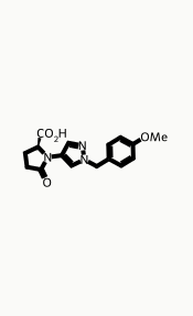 COc1ccc(Cn2cc(N3C(=O)CC[C@H]3C(=O)O)cn2)cc1